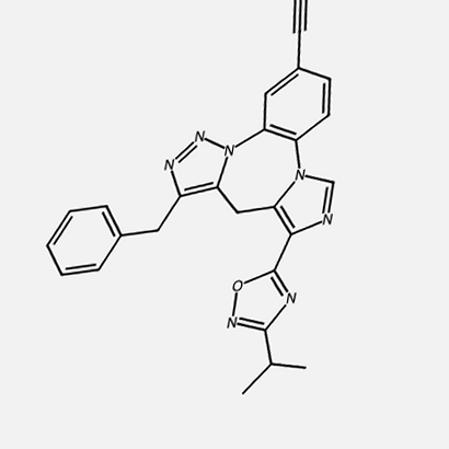 C#Cc1ccc2c(c1)-n1nnc(Cc3ccccc3)c1Cc1c(-c3nc(C(C)C)no3)ncn1-2